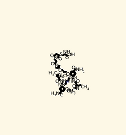 CCc1nc(C)oc1C(=O)Nc1nc2cc(C(N)=O)cc(OCCCOC3CN(C(=O)CCN4C(=O)CC(SCC(N)C(=O)O)C4=O)C3)c2n1C/C=C/Cn1c(NC(=O)c2cc(C)nn2CC)nc2cc(C(N)=O)cc(OC)c21